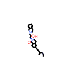 C=C(C#Cc1ccc2c(c1)CCN(CC(O)CN1CCc3ccccc3C1)C2=O)/C=C\C